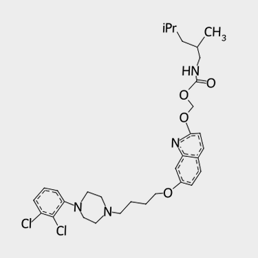 CC(C)CC(C)CNC(=O)OCOc1ccc2ccc(OCCCCN3CCN(c4cccc(Cl)c4Cl)CC3)cc2n1